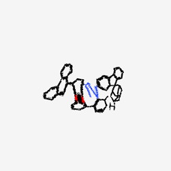 CC1CC=CC(c2ccccc2)=C1N(c1ccc(-c2cc3ccccc3c3ccccc23)cc1)c1ccc2c(c1)[C@]1(c3ccccc3-2)C2CC3CC1C[C@H](C3)C2